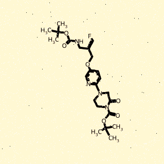 CC(C)(C)OC(=O)NC/C(=C\F)COc1ccc(N2CCN(C(=O)OC(C)(C)C)C(=O)C2)nc1